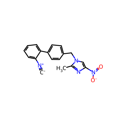 [C-]#[N+]c1ccccc1-c1ccc(Cn2cc([N+](=O)[O-])nc2C)cc1